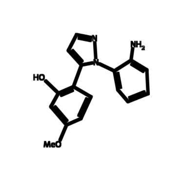 COc1ccc(-c2ccnn2-c2ccccc2N)c(O)c1